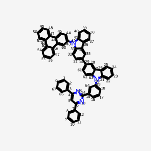 c1ccc(-c2cc(-c3ccccc3)nc(-c3cccc(-n4c5ccccc5c5cc(-c6ccc7c(c6)c6ccccc6n7-c6ccc7c8ccccc8c8ccccc8c7c6)ccc54)c3)n2)cc1